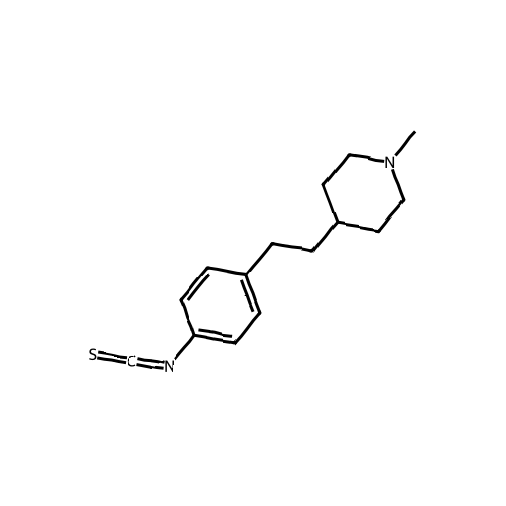 CN1CCC(CCc2ccc(N=C=S)cc2)CC1